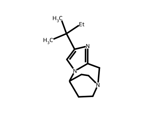 CCC(C)(C)c1cn2c(n1)CN1CCC2CC1